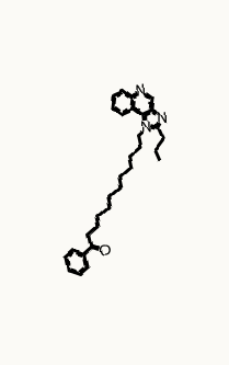 CCCc1nc2cnc3ccccc3c2n1CCCCCCCCCCCC(=O)c1ccccc1